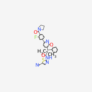 CC(C)(C(=O)Nc1ncc(C#N)s1)[C@H]1c2ccccc2Oc2nc(-c3ccc(C(=O)N4CCCC4)c(F)c3)ccc21